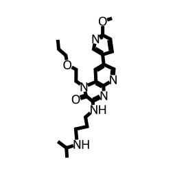 CCCOCCn1c(=O)c(NCCCNC(C)C)nc2ncc(-c3ccc(OC)nc3)cc21